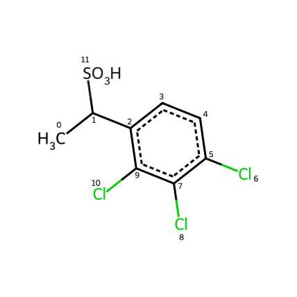 CC(c1ccc(Cl)c(Cl)c1Cl)S(=O)(=O)O